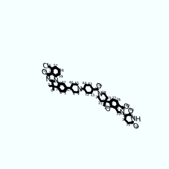 CC1(C)c2ccc(C3CCN(C4CCC(C(=O)N5CCC6(CC5)COc5c6ccc6c5CN([C@H]5CCC(=O)NC5=O)C6=O)CC4)CC3)cc2-n2c1nc(=O)c1c(Cl)cccc12